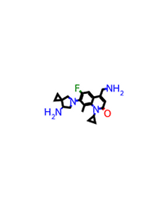 Cc1c(N2C[C@@H](N)C3(CC3)C2)c(F)cc2c(CN)cc(=O)n(C3CC3)c12